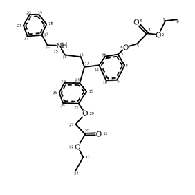 CCOC(=O)COc1cccc(C(CCNCc2ccccc2)c2cccc(OCC(=O)OCC)c2)c1